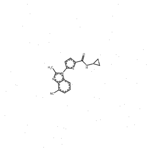 Cc1nc2c(C#N)cccc2n1-c1ccc(C(=O)NC2CC2)s1